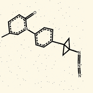 Cc1ccc(=O)n(-c2ccc(C34CC3(N=[N+]=[N-])C4)cc2)c1